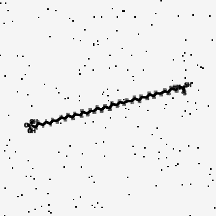 O=P(O)(O)CCCCCCCCCCCCCCCCCCCCCCCCCCCCCCCCCCCCCCCNC(=S)S